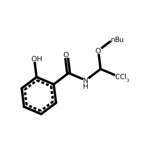 CCCCOC(NC(=O)c1ccccc1O)C(Cl)(Cl)Cl